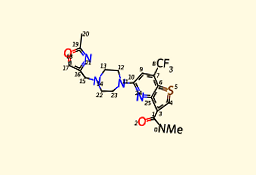 CNC(=O)c1csc2c(C(F)(F)F)cc(N3CCN(Cc4coc(C)n4)CC3)nc12